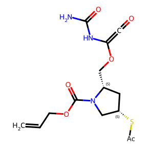 C=CCOC(=O)N1C[C@@H](SC(C)=O)C[C@H]1COC(=C=O)NC(N)=O